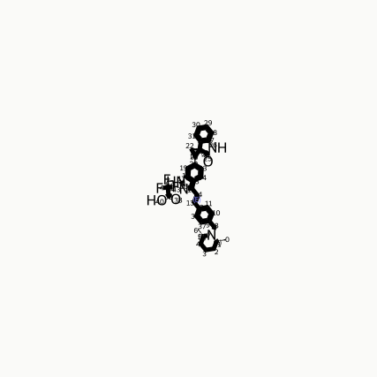 C[C@@H]1CCC[C@H](C)N1Cc1ccc(/C=C/c2n[nH]c3cc([C@@H]4C[C@@]45C(=O)Nc4ccccc45)ccc23)cc1.O=C(O)C(F)(F)F